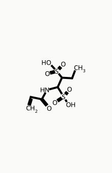 C=CC(=O)NC(C(CC)S(=O)(=O)O)S(=O)(=O)O